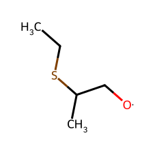 CCSC(C)C[O]